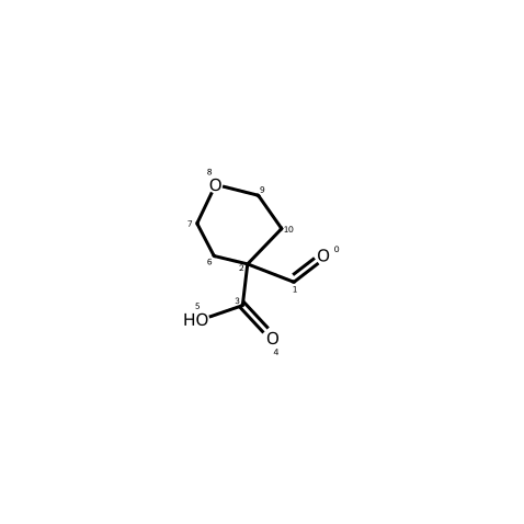 O=CC1(C(=O)O)CCOCC1